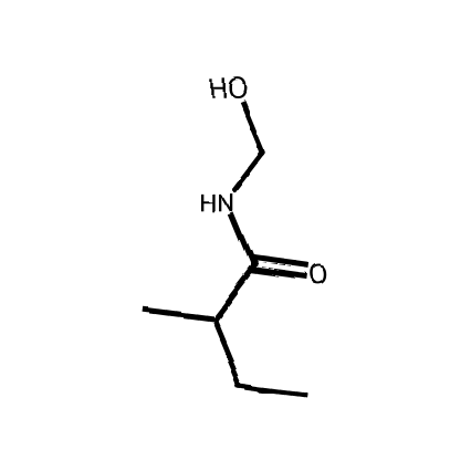 CCC(C)C(=O)NCO